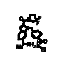 CCNC(=O)c1ccc(Cn2c(C(=O)N3CCC(F)(F)C3)cc3ccc(C(=N)N)cc32)cc1